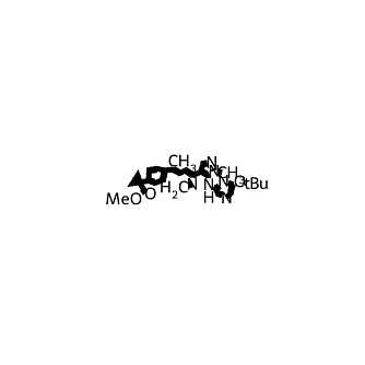 C=N/C(=C\C=C(/C)c1ccc(C2(C(=O)OC)CC2)cc1)c1cnn(C)c1Nc1cncc(OC(C)(C)C)n1